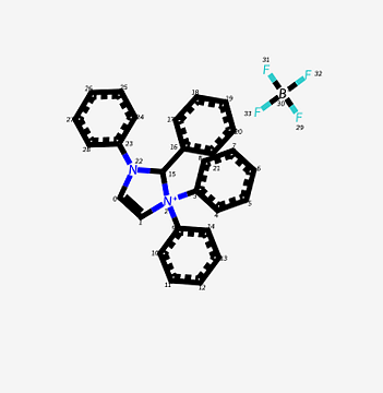 C1=C[N+](c2ccccc2)(c2ccccc2)C(c2ccccc2)N1c1ccccc1.F[B-](F)(F)F